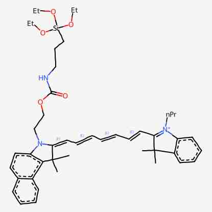 CCC[N+]1=C(/C=C/C=C/C=C/C=C2/N(CCOC(=O)NCCC[Si](OCC)(OCC)OCC)c3ccc4ccccc4c3C2(C)C)C(C)(C)c2ccccc21